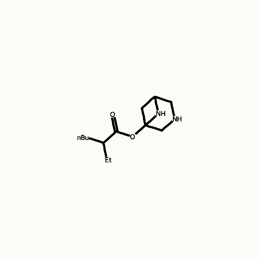 CCCCC(CC)C(=O)OC12CNCC(C1)N2